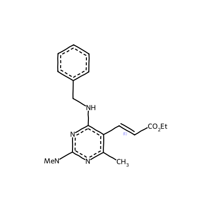 CCOC(=O)/C=C/c1c(C)nc(NC)nc1NCc1ccccc1